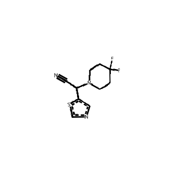 N#CC(c1cncs1)N1CCC(F)(F)CC1